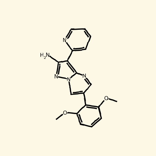 COc1cccc(OC)c1-c1cnc2c(-c3ccccn3)c(N)nn2c1